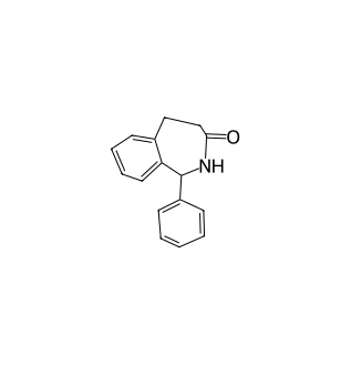 O=C1CCc2ccccc2C(c2ccccc2)N1